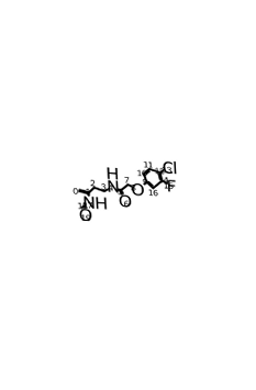 C=C(CCNC(=O)COc1ccc(Cl)c(F)c1)NC=O